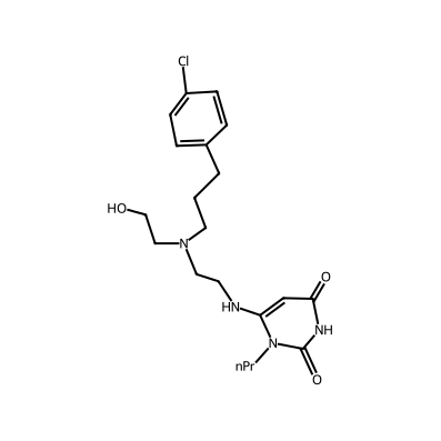 CCCn1c(NCCN(CCO)CCCc2ccc(Cl)cc2)cc(=O)[nH]c1=O